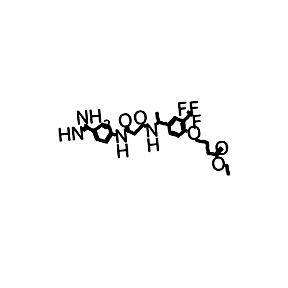 CCOC(=O)CCCOc1ccc(C(C)NC(=O)CC(=O)Nc2ccc(C(=N)N)cc2)cc1C(F)(F)F